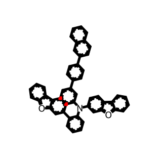 c1cc(-c2ccc(-c3ccc4ccccc4c3)cc2)cc(N(c2ccc3c(c2)oc2ccccc23)c2ccccc2-c2ccc3c(c2)oc2ccccc23)c1